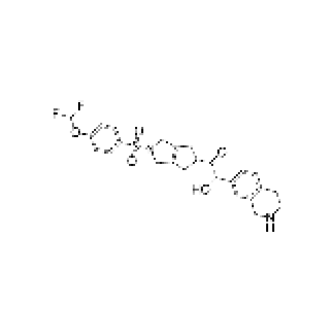 O=C(C1CC2=C(C1)CN(S(=O)(=O)c1ccc(OC(F)F)cc1)C2)C(O)c1ccc2c(c1)CNCC2